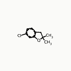 CC1(C)Cc2ccc(Cl)cc2O1